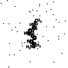 CCC(=O)Nc1cncc(-c2ccc3[nH]nc(-c4cc5c(-c6cc(F)cc(C(N)S(C)(=O)=O)c6)cccc5[nH]4)c3c2)c1